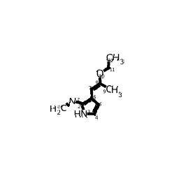 C=Nc1[nH]ccc1/C=C(\C)OCC